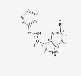 CC(NCc1ccccc1)c1c[nH]c2ccc(Br)cc12